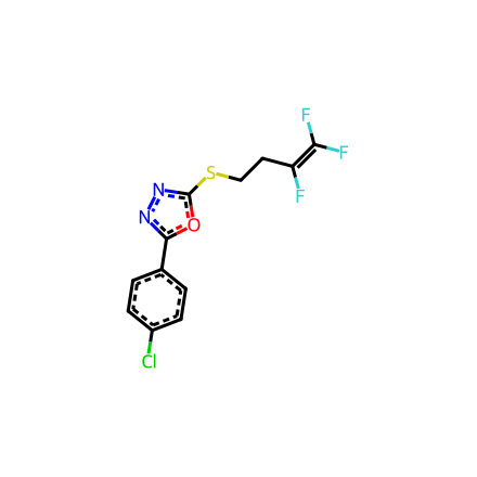 FC(F)=C(F)CCSc1nnc(-c2ccc(Cl)cc2)o1